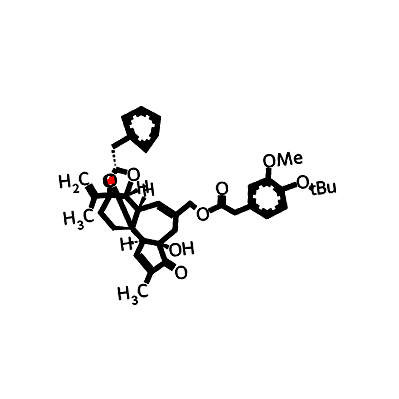 C=C(C)C12CC[C@@]34O[C@](Cc5ccccc5)(O[C@@H]1[C@@H]3C=C(COC(=O)Cc1ccc(OC(C)(C)C)c(OC)c1)C[C@]1(O)C(=O)C(C)=C[C@@H]41)O2